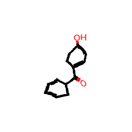 O=C(C1=CC=C(O)CC1)C1C=CC=CC1